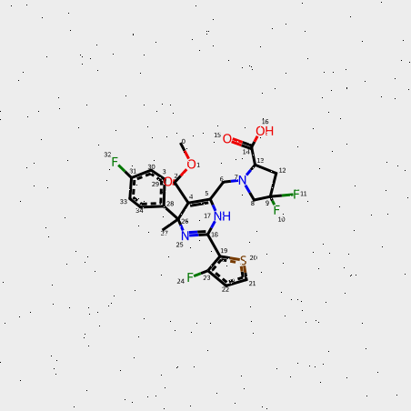 COC(=O)C1=C(CN2CC(F)(F)CC2C(=O)O)NC(c2sccc2F)=NC1(C)c1ccc(F)cc1